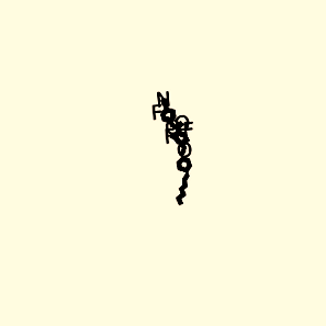 CCCCCCC[C@H]1CC[C@H](COc2cc(F)c(C(=O)Oc3ccc(C#N)c(F)c3)c(F)c2)CC1